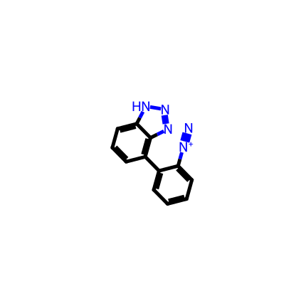 N#[N+]c1ccccc1-c1cccc2[nH]nnc12